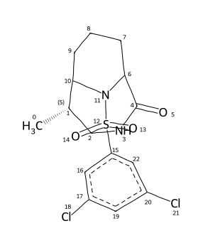 C[C@H]1CNC(=O)C2CCCC1N2S(=O)(=O)c1cc(Cl)cc(Cl)c1